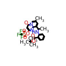 Cc1cc(C(C)Nc2ccccc2C(=O)OC(C)(C)C)c2nc(OS(=O)(=O)C(F)(F)F)cc(=O)n2c1